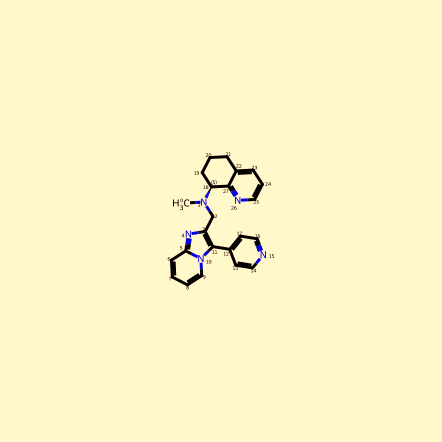 CN(Cc1nc2ccccn2c1-c1ccncc1)[C@H]1CCCc2cccnc21